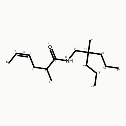 C/C=C\CC(C)C(=O)NCC(C)(CCC)CCC